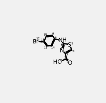 O=C(O)c1csc(Nc2ccc(Br)cc2)n1